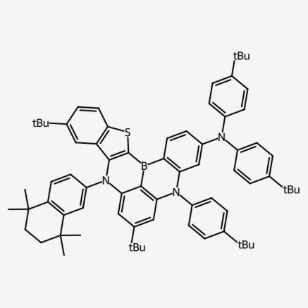 CC(C)(C)c1ccc(N(c2ccc(C(C)(C)C)cc2)c2ccc3c(c2)N(c2ccc(C(C)(C)C)cc2)c2cc(C(C)(C)C)cc4c2B3c2sc3ccc(C(C)(C)C)cc3c2N4c2ccc3c(c2)C(C)(C)CCC3(C)C)cc1